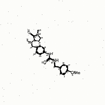 COc1ccc(CNC(=O)Nc2ccc(CN(C)[C@@H]3CCN(C)C3=O)cc2)cc1